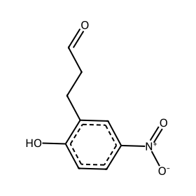 O=CCCc1cc([N+](=O)[O-])ccc1O